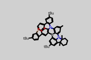 Cc1cc2c3c(c1)N1c4c(cc(C(C)(C)C)cc4C4(C)CCCCC14C)B3c1cc3c(cc1N2c1ccc(C(C)(C)C)cc1-c1ccccc1)sc1cc(C(C)(C)C)ccc13